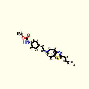 CC(C)(C)OC(=O)N[C@H]1CC[C@H](CCN2CCc3nc(CCC(F)(F)F)sc3CC2)CC1